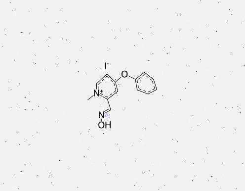 C[n+]1ccc(Oc2ccccc2)cc1/C=N/O.[I-]